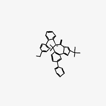 C=C1[C@H](c2ccccc2-c2ccc(CC)cn2)C(C)(C)c2ccc(-c3ccccc3)cc2-c2cc(C(C)(C)C)cn21